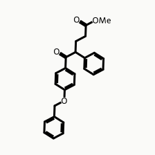 COC(=O)CCC(C(=O)c1ccc(OCc2ccccc2)cc1)c1ccccc1